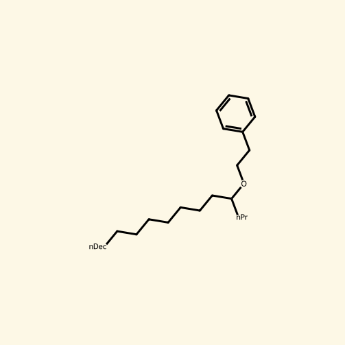 CCCCCCCCCCCCCCCCCC(CCC)OCCc1ccccc1